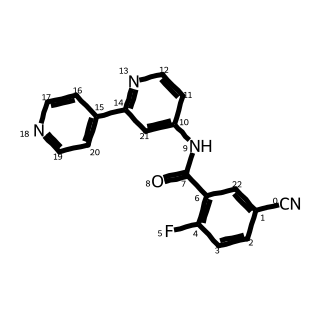 N#Cc1ccc(F)c(C(=O)Nc2ccnc(-c3ccncc3)c2)c1